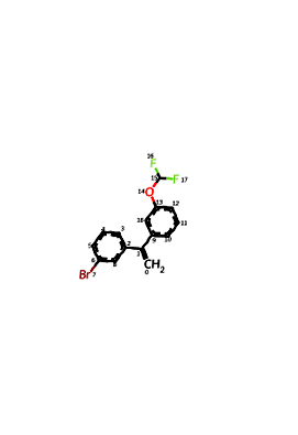 C=C(c1cccc(Br)c1)c1cccc(OC(F)F)c1